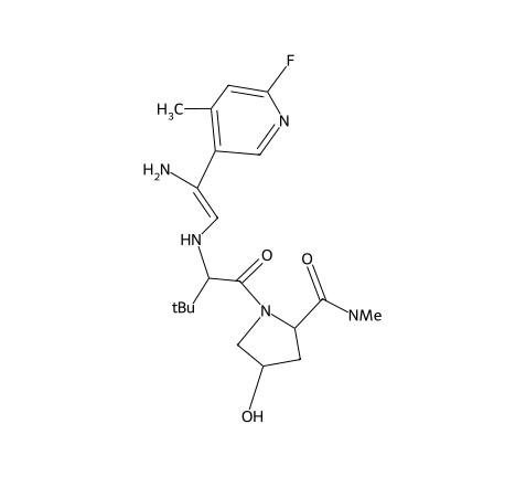 CNC(=O)C1CC(O)CN1C(=O)C(N/C=C(\N)c1cnc(F)cc1C)C(C)(C)C